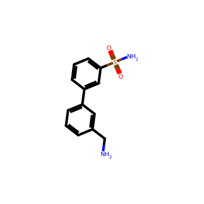 NCc1cccc(-c2[c]c(S(N)(=O)=O)ccc2)c1